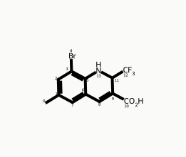 Cc1cc(Br)c2c(c1)C=C(C(=O)O)C(C(F)(F)F)N2